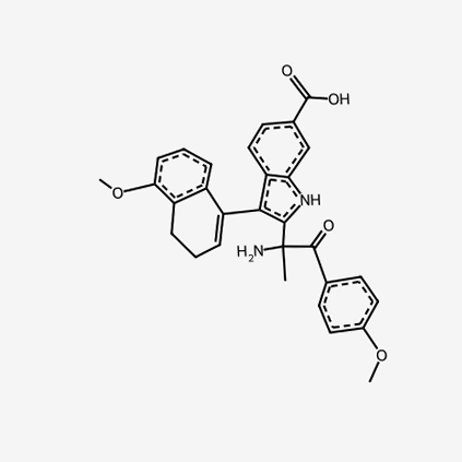 COc1ccc(C(=O)C(C)(N)c2[nH]c3cc(C(=O)O)ccc3c2C2=CCCc3c(OC)cccc32)cc1